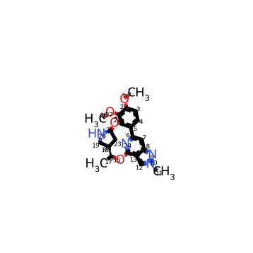 COc1ccc(-c2cc3nn(C)cc3c(OC(C)[C@H]3CNC(=O)C3)n2)cc1OC